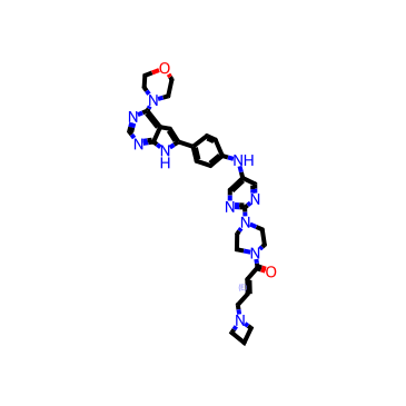 O=C(/C=C/CN1CCC1)N1CCN(c2ncc(Nc3ccc(-c4cc5c(N6CCOCC6)ncnc5[nH]4)cc3)cn2)CC1